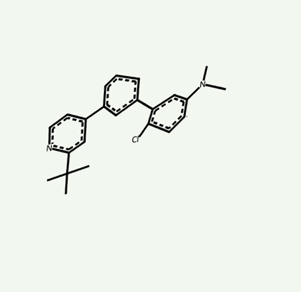 CN(C)c1[c]cc(Cl)c(-c2cccc(-c3ccnc(C(C)(C)C)c3)c2)c1